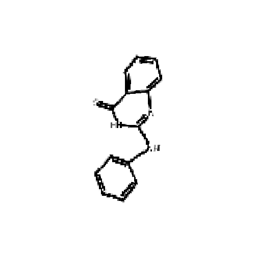 S=c1[nH]c(Nc2ccccc2)nc2ccccc12